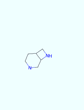 C1CC2CNC2C[N]1